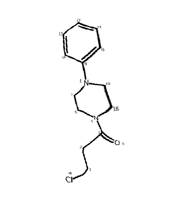 O=C(CCCl)N1CCN(c2ccccc2)CC1